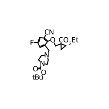 CCOC(=O)C1(COc2c(C#N)cc(F)cc2CN2CCN(C(=O)OC(C)(C)C)CC2)CC1